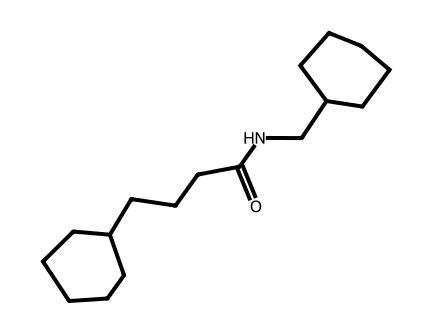 O=C(CCCC1CCCCC1)NCC1CCCCC1